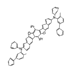 Cc1ccc(-c2ccccc2)cc1N(c1ccccc1)c1ccc2cc3c(cc2c1)oc1c(C(C)C)c2c(oc4cc5cc(N(c6ccccc6)c6cc(-c7ccccc7)ccc6C)ccc5cc42)c(C(C)C)c13